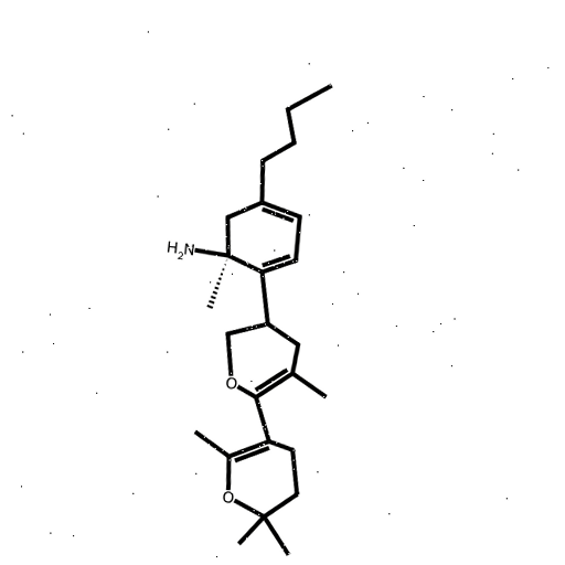 CCCCC1=CC=C(C2COC(C3=C(C)OC(C)(C)CC3)=C(C)C2)[C@@](C)(N)C1